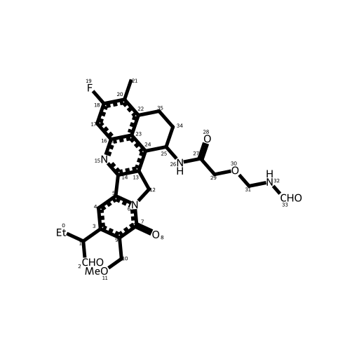 CCC(C=O)c1cc2n(c(=O)c1COC)Cc1c-2nc2cc(F)c(C)c3c2c1C(NC(=O)COCNC=O)CC3